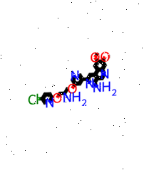 COc1cc2ncc3c(N)nc(-c4cncc(OC[C@@H](N)COc5ccc(Cl)cn5)c4)cc3c2cc1OC